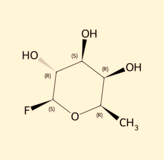 C[C@H]1O[C@@H](F)[C@H](O)[C@@H](O)[C@H]1O